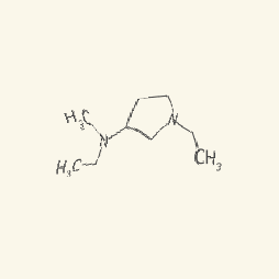 CCN1CCC(N(C)CC)C1